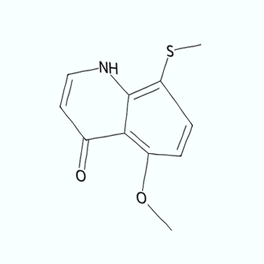 COc1ccc(SC)c2[nH]ccc(=O)c12